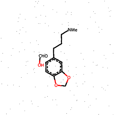 CNCCCc1ccc2c(c1)OCO2.O=CO